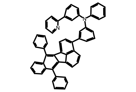 c1ccc(-c2c3c(c(-c4ccccc4)c4ccccc24)-c2ccc(-c4cccc(N(c5ccccc5)c5cccc(-c6ccccn6)c5)c4)c4cccc-3c24)cc1